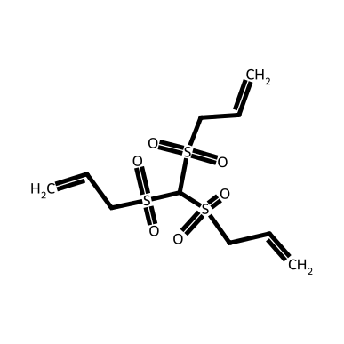 C=CCS(=O)(=O)C(S(=O)(=O)CC=C)S(=O)(=O)CC=C